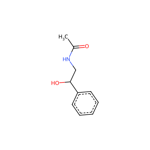 CC(=O)NCC(O)c1ccccc1